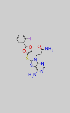 NC(=O)CCn1c(SC2=COC(c3ccccc3I)O2)nc2c(N)ncnc21